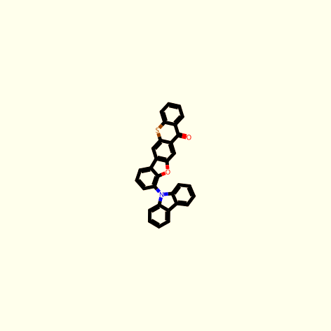 O=c1c2ccccc2sc2cc3c(cc12)oc1c(-n2c4ccccc4c4ccccc42)cccc13